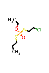 CCCSP(=O)(OCC)SCCCl